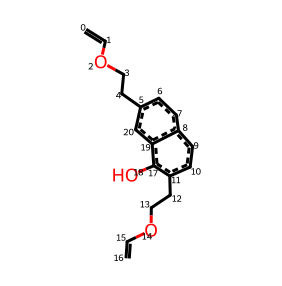 C=COCCc1ccc2ccc(CCOC=C)c(O)c2c1